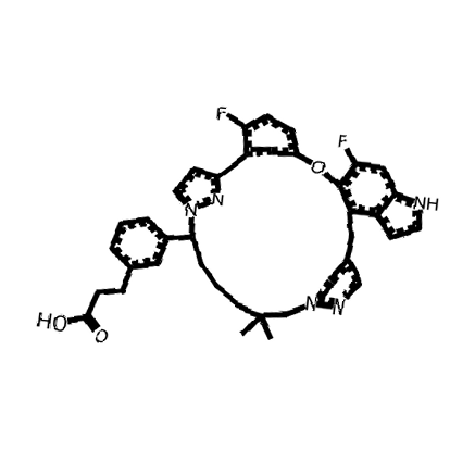 CC1(C)CCCC(c2cccc(CCC(=O)O)c2)n2ccc(n2)-c2cc(ccc2F)Oc2c(F)cc3[nH]ccc3c2Cc2cnn(c2)C1